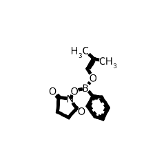 CC(C)=COB(ON1C(=O)CCC1=O)c1ccccc1